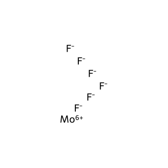 [F-].[F-].[F-].[F-].[F-].[F-].[Mo+6]